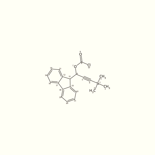 C[Si](C)(C)C#CC(OC(=O)Cl)C1c2ccccc2-c2ccccc21